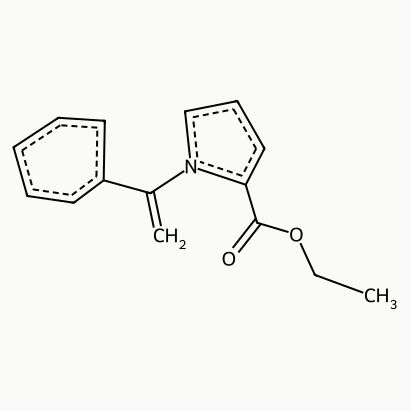 C=C(c1ccccc1)n1cccc1C(=O)OCC